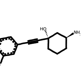 N[C@H]1CCC[C@@](O)(C#Cc2cccc(F)c2)C1